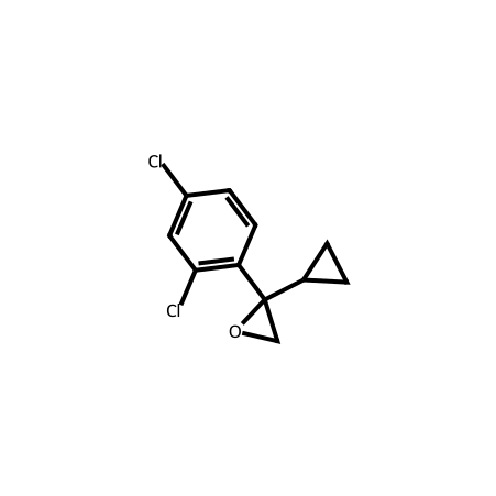 Clc1ccc(C2(C3CC3)CO2)c(Cl)c1